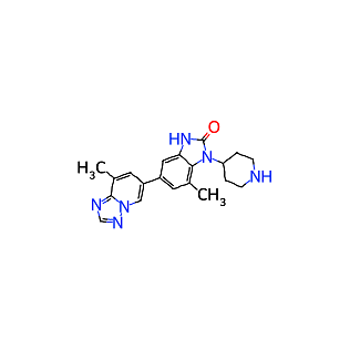 Cc1cc(-c2cc(C)c3ncnn3c2)cc2[nH]c(=O)n(C3CCNCC3)c12